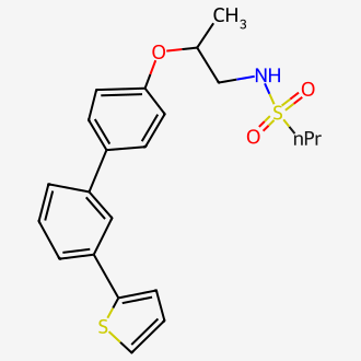 CCCS(=O)(=O)NCC(C)Oc1ccc(-c2cccc(-c3cccs3)c2)cc1